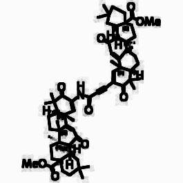 COC(=O)[C@]12CCC(C)(C)C[C@H]1[C@H]1C(=O)C=C3[C@@]4(C)C=C(C#CC(=O)NC5=C[C@]6(C)C7=CC(=O)[C@@H]8[C@@H]9CC(C)(C)CC[C@]9(C(=O)OC)CC[C@@]8(C)[C@]7(C)CC[C@H]6C(C)(C)C5=O)C(=O)C(C)(C)[C@@H]4CC[C@@]3(C)[C@]1(C)CC2